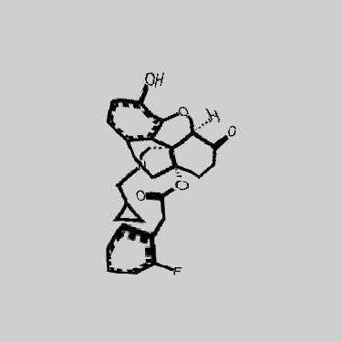 O=C(Cc1ccccc1F)O[C@@]12CCC(=O)[C@@H]3Oc4c(O)ccc5c4[C@@]31CCN(CC1CC1)C2C5